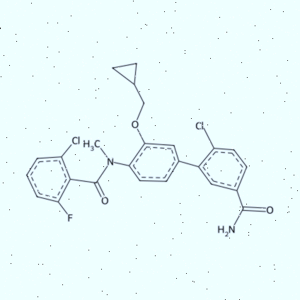 CN(C(=O)c1c(F)cccc1Cl)c1ccc(-c2cc(C(N)=O)ccc2Cl)cc1OCC1CC1